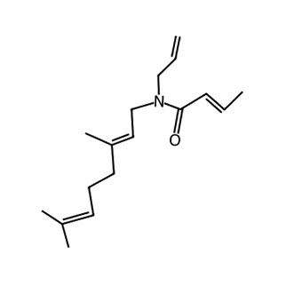 C=CCN(C/C=C(\C)CCC=C(C)C)C(=O)/C=C/C